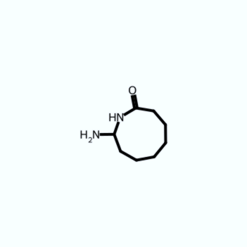 NC1CCCCCCC(=O)N1